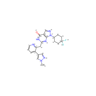 Cn1cc(-c2cccnc2Cc2nc3c(cnn3C3CCC(F)(F)CC3)c(=O)[nH]2)cn1